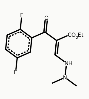 CCOC(=O)C(=CNN(C)C)C(=O)c1cc(F)ccc1F